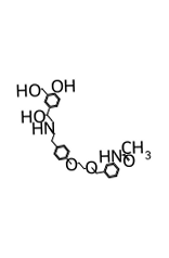 CC(=O)Nc1cccc(COCCOc2ccc(CCNC[C@@H](O)c3ccc(O)c(CO)c3)cc2)c1